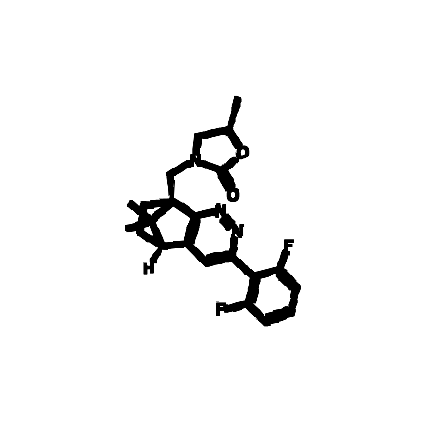 C[C@@H]1CN(C[C@@]23CC[C@@H](c4cc(-c5c(F)cccc5F)nnc42)C3(C)C)C(=O)O1